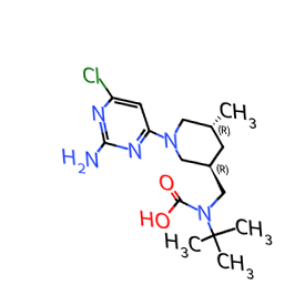 C[C@@H]1C[C@@H](CN(C(=O)O)C(C)(C)C)CN(c2cc(Cl)nc(N)n2)C1